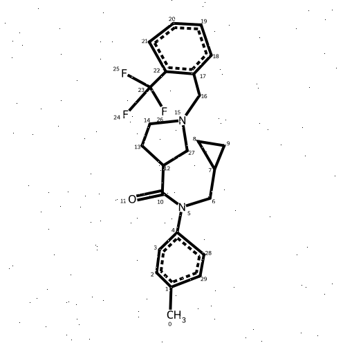 Cc1ccc(N(CC2CC2)C(=O)C2CCN(Cc3ccccc3C(F)(F)F)C2)cc1